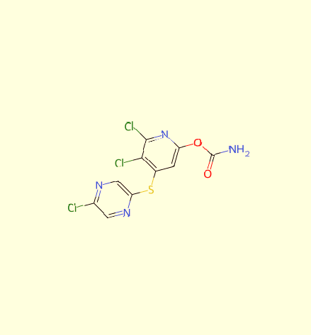 NC(=O)Oc1cc(Sc2cnc(Cl)cn2)c(Cl)c(Cl)n1